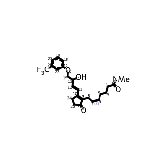 CNC(=O)CCC/C=C\CC1=C(C=CC(O)COc2cccc(C(F)(F)F)c2)CCC1=O